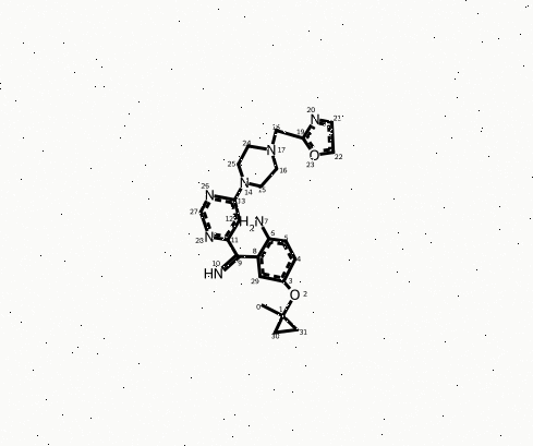 CC1(Oc2ccc(N)c(C(=N)c3cc(N4CCN(Cc5ncco5)CC4)ncn3)c2)CC1